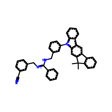 CC1(C)c2ccccc2-c2cc3c4ccccc4n(-c4cccc(CN/C(=N\Cc5cccc(C#N)c5)c5ccccc5)c4)c3cc21